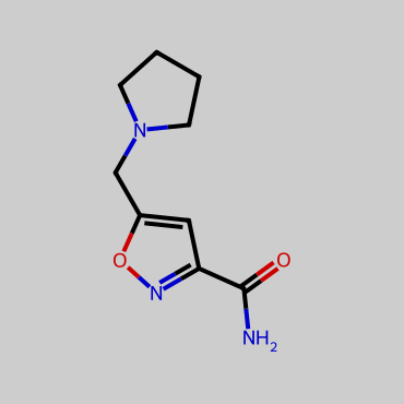 NC(=O)c1cc(CN2CCCC2)on1